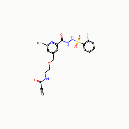 C#CC(=O)NCCOCc1cc(C)nc(C(=O)NNS(=O)(=O)c2ccccc2F)c1